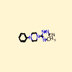 C/N=C(\N=N/C#N)N1CCN(c2ccccc2)CC1